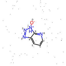 [O-][NH+]1N=Nc2cccnc21